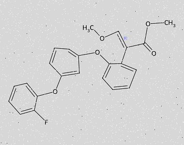 CO/C=C(/C(=O)OC)c1ccccc1Oc1cccc(Oc2ccccc2F)c1